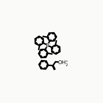 C=C(C[OH2+])c1ccccc1.Cc1ccccc1[B-](c1ccccc1C)(c1ccccc1C)c1ccccc1C